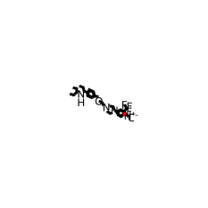 [C-]#[N+]c1ccc(N2CCN(CCOCc3ccc(C(CC)NC(CC)CC)cc3)CC2)cc1C(F)(F)F